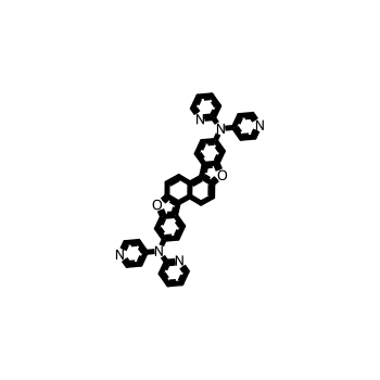 C1=Cc2oc3cc(N(c4ccncc4)c4ccccn4)ccc3c2C2CC=c3oc4cc(N(c5ccncc5)c5ccccn5)ccc4c3=C12